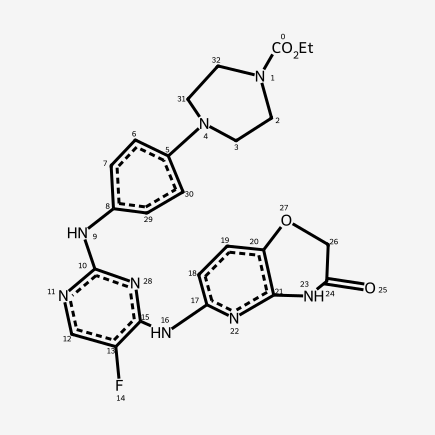 CCOC(=O)N1CCN(c2ccc(Nc3ncc(F)c(Nc4ccc5c(n4)NC(=O)CO5)n3)cc2)CC1